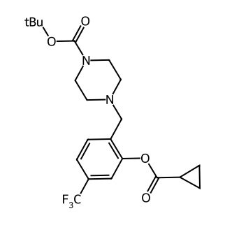 CC(C)(C)OC(=O)N1CCN(Cc2ccc(C(F)(F)F)cc2OC(=O)C2CC2)CC1